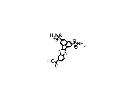 NS(=O)(=O)c1cc2c3c(cc(S(N)(=O)=O)cc3c1)-c1nc3cc(C(=O)O)ccc3nc1-2